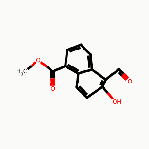 COC(=O)c1cccc2c(C=O)c(O)ccc12